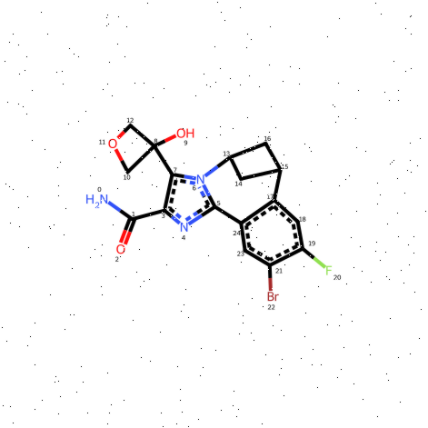 NC(=O)c1nc2n(c1C1(O)COC1)C1CC(C1)c1cc(F)c(Br)cc1-2